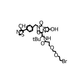 Cc1ncsc1-c1ccc(CNC(=O)[C@@H]2C[C@H](O)CN2C(=O)[C@@H](NC(=O)CCOCCOCCBr)C(C)(C)C)cc1